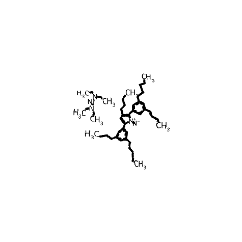 CCCCCc1cc(CCCC)cc(C2=CC(CCCC)=C(c3cc(CCCC)cc(CCCCC)c3)[N+]2=[N-])c1.CC[N](CC)[Ni][N](CC)CC